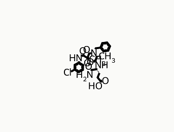 C[C@@H](C(=O)N[C@H](CCC(=O)O)C(N)=O)N(Cc1ccccc1)C(=O)C1(C)Oc2ccc(Cl)cc2NC1=O